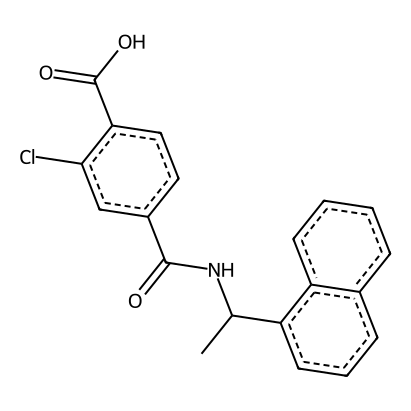 CC(NC(=O)c1ccc(C(=O)O)c(Cl)c1)c1cccc2ccccc12